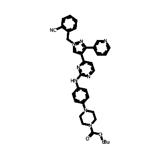 CC(C)(C)OC(=O)N1CCN(c2ccc(Nc3nccc(-c4cn(Cc5ccccc5C#N)nc4-c4cccnc4)n3)cc2)CC1